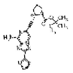 CC(C)(C)OC(=O)N1CCC[C@H]1C#Cc1cn2nc(-c3ccco3)nc2c(N)n1